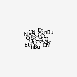 CCCCC(CC)C(=O)Oc1c2c(c(OC(=O)C(CC)CCCC)c3c1SC(=C(C#N)C(=O)N(C)C)S3)SC(=C(C#N)C(=O)N(C)C)S2